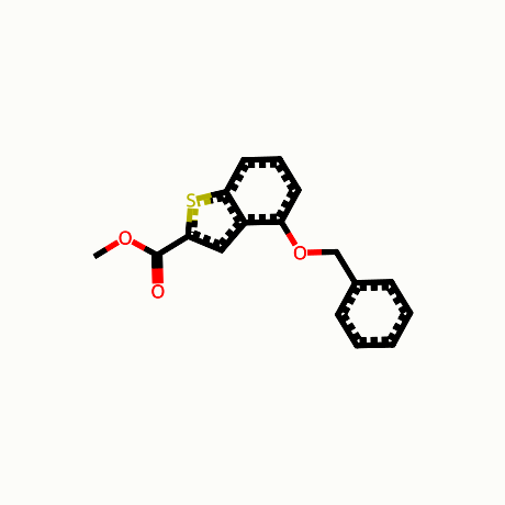 COC(=O)c1cc2c(OCc3ccccc3)cccc2s1